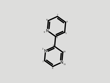 [c]1cnc(-c2ccccn2)cn1